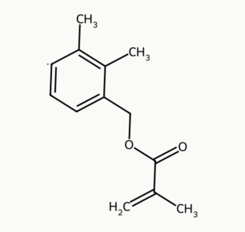 C=C(C)C(=O)OCc1cc[c]c(C)c1C